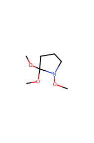 CON1CCCC1(OC)OC